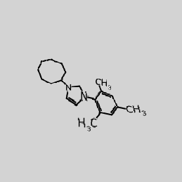 Cc1cc(C)c(N2C=CN(C3CCCCCCC3)C2)c(C)c1